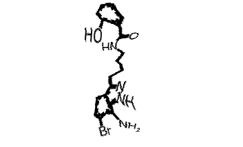 Nc1c(Br)ccc2c(CCCCNC(=O)c3ccccc3O)n[nH]c12